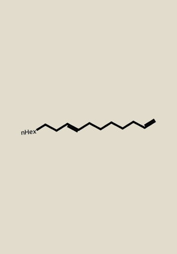 [CH2]CCCCCCC/C=C/CCCCCC=C